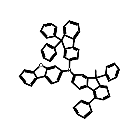 CC1(c2ccccc2)c2cc(N(c3ccc4c(c3)C(c3ccccc3)(c3ccccc3)c3ccccc3-4)c3ccc4c(c3)oc3ccccc34)ccc2-c2c(-c3ccccc3)cccc21